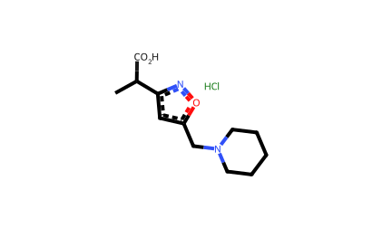 CC(C(=O)O)c1cc(CN2CCCCC2)on1.Cl